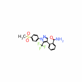 CS(=O)(=O)c1ccc(-n2ncc(-c3ccccc3C(N)=O)c2C(F)(F)F)cc1